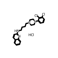 Cl.Clc1cccc(N2CCN(CCCCNc3ccc4ccccc4n3)CC2)c1Cl